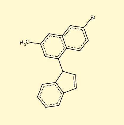 Cc1cc(C2C=Cc3ccccc32)c2ccc(Br)cc2c1